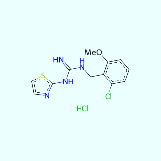 COc1cccc(Cl)c1CNC(=N)Nc1nccs1.Cl